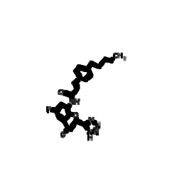 CCCCCc1ccc(/C=C/C(=O)Nc2cc(F)cc3c(=O)cc(-c4nnn[nH]4)oc23)cc1